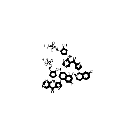 NS(=O)(=O)OC[C@H]1C[C@@H](Nc2ncncc2C(=O)c2cc([C@@H]3CCCc4ccc(Cl)cc43)cs2)C[C@@H]1O.NS(=O)(=O)OC[C@H]1C[C@@H](Nc2ncncc2C(=O)c2cc([C@@H]3c4cc(Cl)ccc4CCN3C(=O)O)cs2)C[C@@H]1O